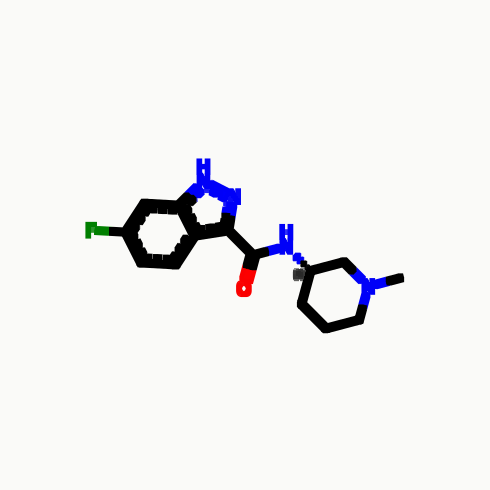 CN1CCC[C@H](NC(=O)c2n[nH]c3cc(F)ccc23)C1